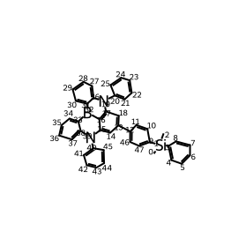 C[Si](C)(c1ccccc1)c1ccc(-c2cc3c4c(c2)N(c2ccccc2)c2ccccc2B4c2ccccc2N3c2ccccc2)cc1